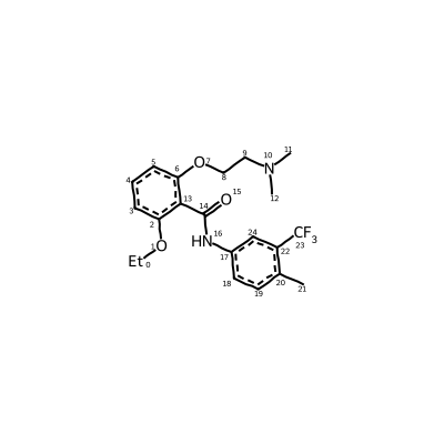 CCOc1cccc(OCCN(C)C)c1C(=O)Nc1ccc(C)c(C(F)(F)F)c1